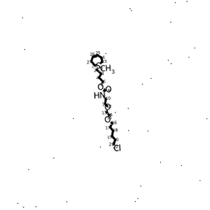 CS1(CCCCOC(=O)NCCOCCOCCCCCCCl)CCC=CCC1